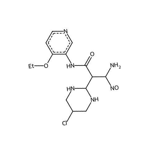 CCOc1ccncc1NC(=O)C(C(N)N=O)C1NCC(Cl)CN1